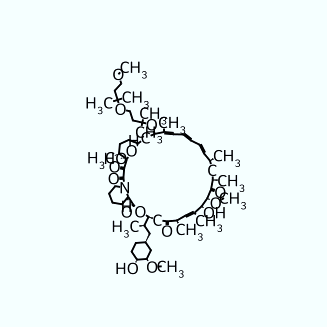 COCCC(C)(C)OCCC(C)(C)OC1C[C@@H]2CC[C@@H](C)[C@@](O)(O2)C(=O)C(=O)N2CCCC[C@H]2C(=O)O[C@H]([C@H](C)C[C@@H]2CC[C@@H](O)[C@H](OC)C2)CC(=O)[C@H](C)/C=C(\C)[C@@H](O)[C@@H](OC)C(=O)[C@H](C)C[C@H](C)/C=C/C=C/C=C/1C